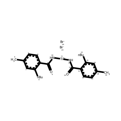 CCCCc1cc(C)ccc1C(=O)[NH][Ti+2][NH]C(=O)c1ccc(C)cc1CCCC.[Br-].[Br-]